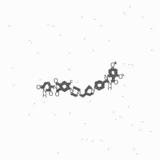 COc1cc(OC)c2c(=O)[nH]c(-c3ccc(N4CCC(CN5CCN(c6cc7c(cc6F)C(=O)N(C6CCC(=O)NC6=O)C7=O)CC5)CC4)cc3)nc2c1